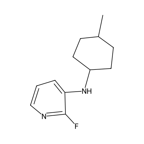 CC1CCC(Nc2cccnc2F)CC1